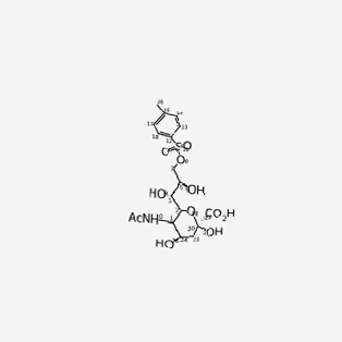 CC(=O)NC1C([C@H](O)[C@H](O)COS(=O)(=O)c2ccc(C)cc2)O[C@](O)(C(=O)O)C[C@H]1O